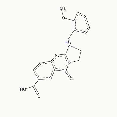 COc1ccccc1/C=C1\CCn2c1nc1ccc(C(=O)O)cc1c2=O